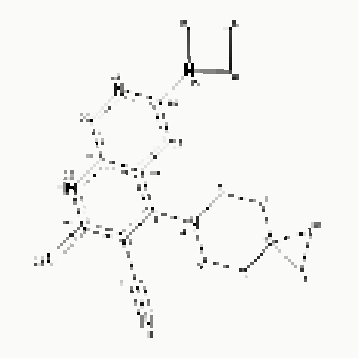 N#Cc1c(N2CCC3(CC2)CC3)c2cc(N3CCC3)ncc2[nH]c1=O